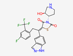 O=C1S/C(=C(/Cc2ccc(F)cc2C(F)(F)F)c2ccc3[nH]ncc3c2)C(=O)N1[C@H]1CCNC[C@@H]1O